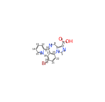 O=C(O)c1ncn2c1CN=C(c1ccccn1)c1cc(Br)ccc1-2